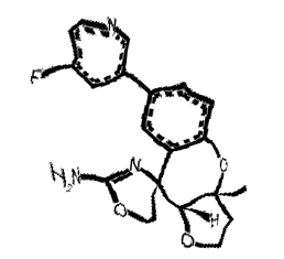 C[C@@]12CCO[C@@H]1[C@@]1(COC(N)=N1)c1cc(-c3cncc(F)c3)ccc1O2